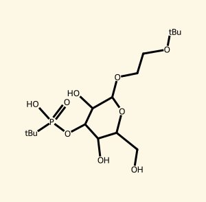 CC(C)(C)OCCOC1OC(CO)C(O)C(OP(=O)(O)C(C)(C)C)C1O